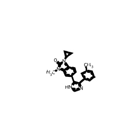 Cc1cccc(-c2nc[nH]c2-c2ccc3c(c2)n(C)c(=O)n3C2CC2)c1